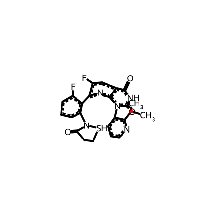 CC(C)c1nccc2c1-n1c(=O)[nH]c(=O)c3cc(F)c(nc31)-c1c(F)cccc1N1C(=O)CC[SH]21